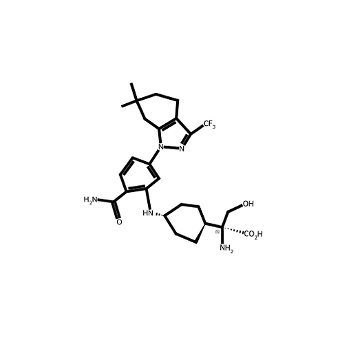 CC1(C)CCc2c(C(F)(F)F)nn(-c3ccc(C(N)=O)c(N[C@H]4CC[C@H]([C@](N)(CO)C(=O)O)CC4)c3)c2C1